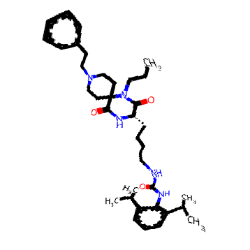 CCCN1C(=O)[C@H](CCCCNC(=O)Nc2c(C(C)C)cccc2C(C)C)NC(=O)C12CCN(CCc1ccccc1)CC2